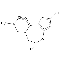 Cc1cc2c(s1)SCCC(CN(C)C)C2=O.Cl